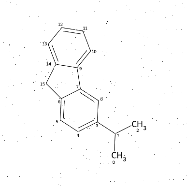 CC(C)c1ccc2c(c1)-c1ccccc1C2